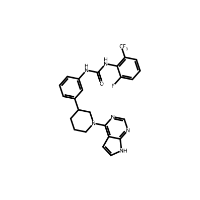 O=C(Nc1cccc(C2CCCN(c3ncnc4[nH]ccc34)C2)c1)Nc1c(F)cccc1C(F)(F)F